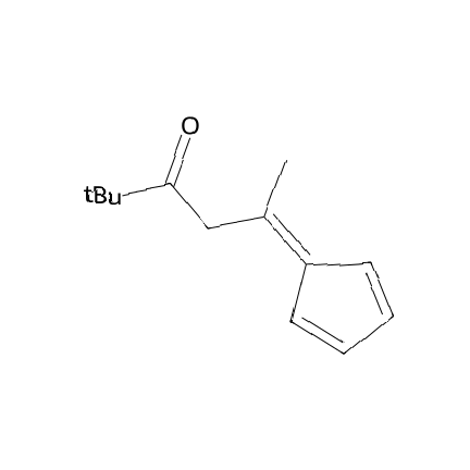 CC(CC(=O)C(C)(C)C)=C1C=CC=C1